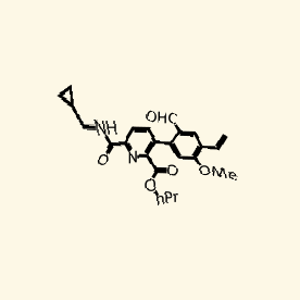 C=Cc1cc(C=O)c(-c2ccc(C(=O)NCC3CC3)nc2C(=O)OCCC)cc1OC